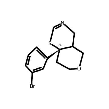 Brc1cccc([C@]23CCOCC2CN=CS3)c1